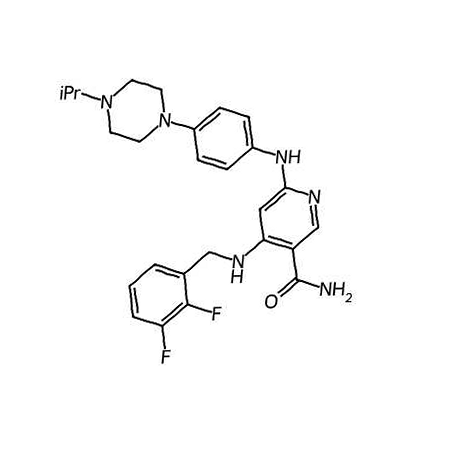 CC(C)N1CCN(c2ccc(Nc3cc(NCc4cccc(F)c4F)c(C(N)=O)cn3)cc2)CC1